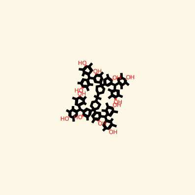 Cc1cc(C2(c3cc(C)c(O)c(C(c4cc(C)c(O)c(C)c4C)c4cc(C)c(O)c(C)c4C)c3)CCC(C(C)(C)C3CCC(c4cc(C)c(O)c(C(c5cc(C)c(O)c(C)c5C)c5cc(C)c(O)c(C)c5C)c4)(c4cc(C)c(O)c(C(c5cc(C)c(O)c(C)c5C)c5cc(C)c(O)c(C)c5C)c4)CC3)CC2)cc(C(c2cc(C)c(O)c(C)c2C)c2cc(C)c(O)c(C)c2C)c1O